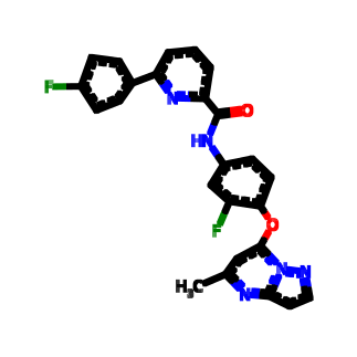 Cc1cc(Oc2ccc(NC(=O)c3cccc(-c4ccc(F)cc4)n3)cc2F)n2nccc2n1